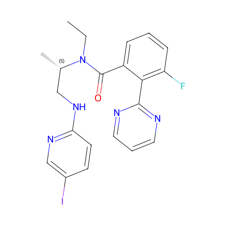 CCN(C(=O)c1cccc(F)c1-c1ncccn1)[C@@H](C)CNc1ccc(I)cn1